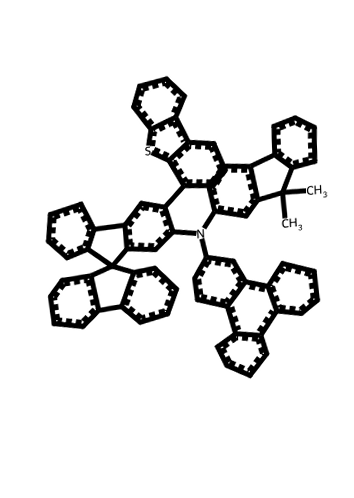 CC1(C)c2ccccc2-c2ccc(N(c3ccc4c5ccccc5c5ccccc5c4c3)c3cc4c(cc3-c3cccc5c3sc3ccccc35)-c3ccccc3C43c4ccccc4-c4ccccc43)cc21